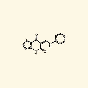 O=C1Nc2ccsc2C(=O)C1=CNc1ccccc1